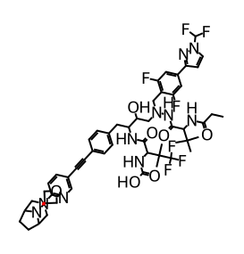 CCC(=O)NC(C(=O)NN(Cc1c(F)cc(-c2ccn(C(F)F)n2)cc1F)CC(O)C(Cc1ccc(C#Cc2ccc(N3CC4CCC(C3)N4C3COC3)nc2)cc1)NC(=O)C(NC(=O)O)C(C)(C)C(F)(F)F)C(C)(C)C